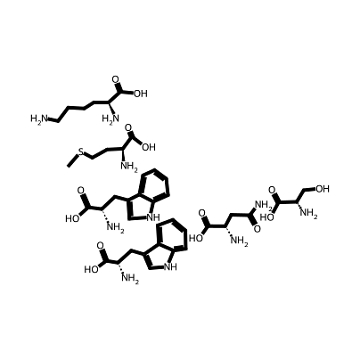 CSCC[C@H](N)C(=O)O.NC(=O)C[C@H](N)C(=O)O.NCCCC[C@H](N)C(=O)O.N[C@@H](CO)C(=O)O.N[C@@H](Cc1c[nH]c2ccccc12)C(=O)O.N[C@@H](Cc1c[nH]c2ccccc12)C(=O)O